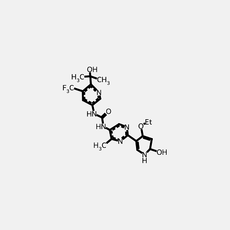 CCOC1=CC(O)NC=C1c1ncc(NC(=O)Nc2cnc(C(C)(C)O)c(C(F)(F)F)c2)c(C)n1